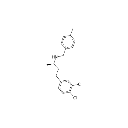 Cc1ccc(CN[C@H](C)CCc2ccc(Cl)c(Cl)c2)cc1